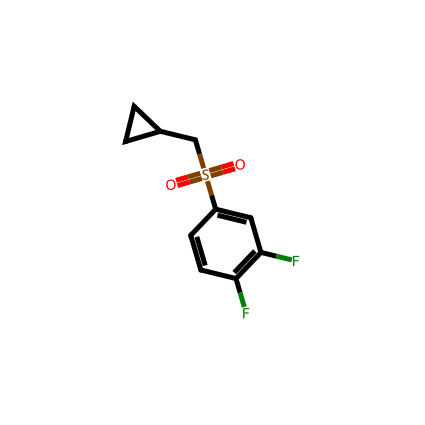 O=S(=O)(CC1CC1)c1ccc(F)c(F)c1